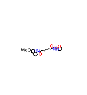 COc1ccc2c(c1)CCCC2NC(=O)CCCCCCC(=O)NOC1CCCCO1